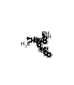 CCCN(CC1CC1)c1ncc(Cl)c(-c2ccc(C(=O)NS(=O)(=O)c3ccc4ccccc4c3)cc2C(=O)c2cccc3c2CC(CO)NC3)n1